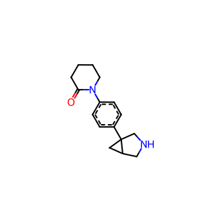 O=C1CCCCN1c1ccc(C23CNCC2C3)cc1